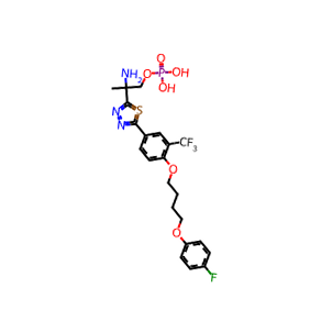 CC(N)(COP(=O)(O)O)c1nnc(-c2ccc(OCCCCOc3ccc(F)cc3)c(C(F)(F)F)c2)s1